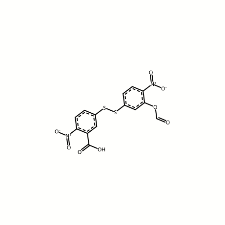 O=COc1cc(SSc2ccc([N+](=O)[O-])c(C(=O)O)c2)ccc1[N+](=O)[O-]